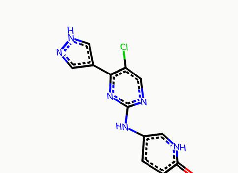 O=c1ccc(Nc2ncc(Cl)c(-c3cn[nH]c3)n2)c[nH]1